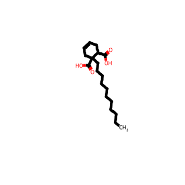 CCCCCCCCCCCC1(C(=O)O)CC=CCC1C(=O)O